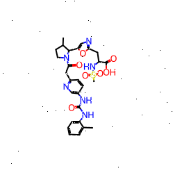 Cc1ccccc1NC(=O)Nc1ccc(CC(=O)N2CCC(C)C2c2cnc(CC(NS(C)(=O)=O)C(=O)O)o2)nc1